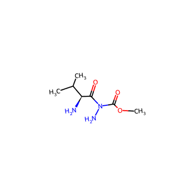 COC(=O)N(N)C(=O)[C@@H](N)C(C)C